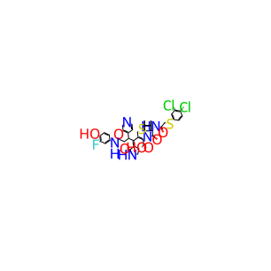 O=C(CC(C(=C1CCNC1=O)C1=C(C(=O)O)N2C(=O)[C@@H](NC(=O)CSc3ccc(Cl)c(Cl)c3)[C@H]2SC1)c1ccncc1)Nc1ccc(O)c(F)c1